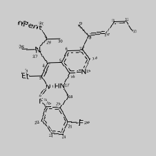 C=N/C(CC)=C(\c1cc(/C(C)=C/C=C\C)cnc1NCc1c(F)cccc1F)N(C)C(C)CCCCC